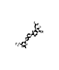 CCn1c(=O)n(CC(F)F)c2nc(N3CCC4(CN(c5cc(C(F)(F)F)nc(C)n5)C4)C3)ncc21